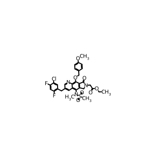 CCOC(=O)CN1Cc2c(c(OCc3ccc(OC)cc3)c3ncc(Cc4cc(Cl)c(F)cc4F)cc3c2N(C)S(C)(=O)=O)C1=O